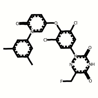 Cc1cc(C)cc(-n2cc(Oc3c(Cl)cc(-n4nc(CF)c(=O)[nH]c4=O)cc3Cl)ccc2=O)c1